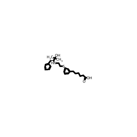 CC(C)(O)[C@H](Cc1ccccc1)NCCSc1cccc(CCCCCC(=O)O)c1